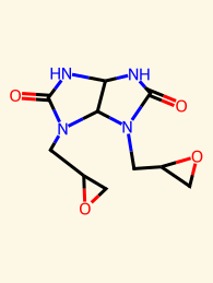 O=C1NC2NC(=O)N(CC3CO3)C2N1CC1CO1